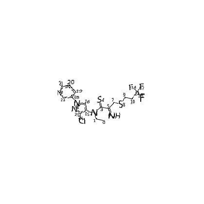 CCN(C(=S)C(=N)CSCCC(F)(F)F)c1cn(-c2cccnc2)nc1Cl